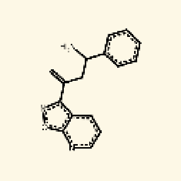 C=C(CC(N)c1ccccc1)c1noc2ncccc12